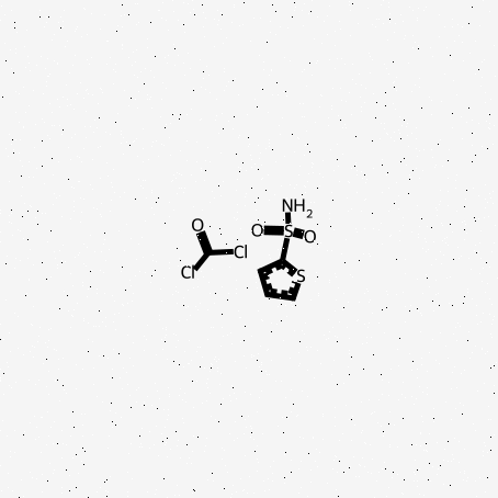 NS(=O)(=O)c1cccs1.O=C(Cl)Cl